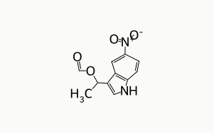 CC(OC=O)c1c[nH]c2ccc([N+](=O)[O-])cc12